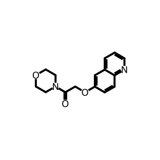 O=C(COc1ccc2ncccc2c1)N1CCOCC1